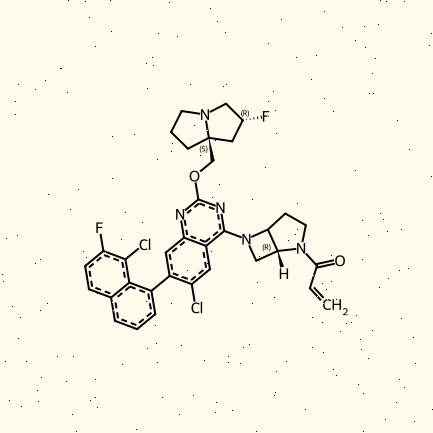 C=CC(=O)N1CCC2[C@H]1CN2c1nc(OC[C@@]23CCCN2C[C@H](F)C3)nc2cc(-c3cccc4ccc(F)c(Cl)c34)c(Cl)cc12